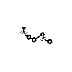 O=C(NCc1ccc(-c2cccc(C#CC3CCCN3C(=O)OCc3ccccc3)c2)cc1)C1CC1